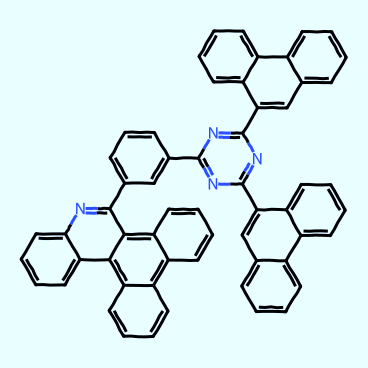 c1cc(-c2nc(-c3cc4ccccc4c4ccccc34)nc(-c3cc4ccccc4c4ccccc34)n2)cc(-c2nc3ccccc3c3c4ccccc4c4ccccc4c23)c1